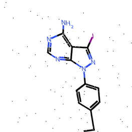 CCc1ccc(-n2nc(I)c3c(N)ncnc32)cc1